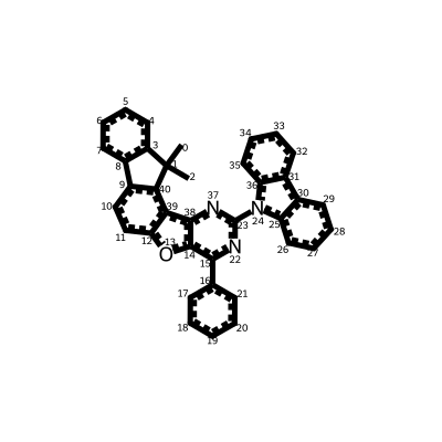 CC1(C)c2ccccc2-c2ccc3oc4c(-c5ccccc5)nc(-n5c6ccccc6c6ccccc65)nc4c3c21